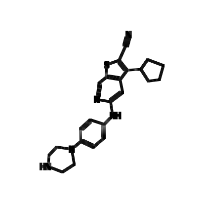 N#Cc1sc2cnc(Nc3ccc(N4CCNCC4)cc3)cc2c1C1CCCC1